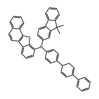 CC1(C)c2ccccc2-c2ccc(N(c3ccc(C4C=CC(c5ccccc5)=CC4)cc3)c3cccc4c3sc3c5ccccc5ccc43)cc21